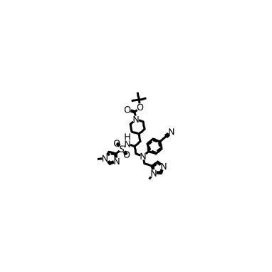 Cn1cnc(S(=O)(=O)NC(CC2CCN(C(=O)OC(C)(C)C)CC2)CN(Cc2cncn2C)c2ccc(C#N)cc2)c1